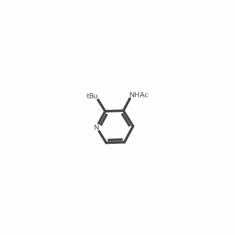 CC(=O)Nc1cccnc1C(C)(C)C